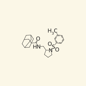 Cc1cccc(S(=O)(=O)N2CCCC2CNC(=O)C23CC4CC(CC(C4)C2)C3)c1